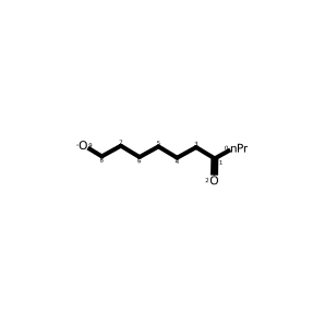 CCCC(=O)CCCCCC[O]